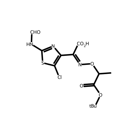 CC(O/N=C(\C(=O)O)c1nc(NC=O)sc1Cl)C(=O)OC(C)(C)C